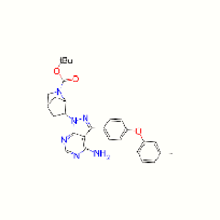 Cc1cccc(Oc2ccc(-c3nn(C4CC5CC4N(C(=O)OC(C)(C)C)C5)c4ncnc(N)c34)cc2)c1